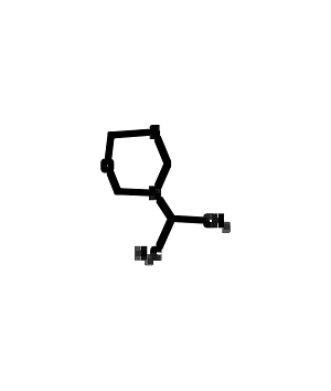 CC(C)N1COCSC1